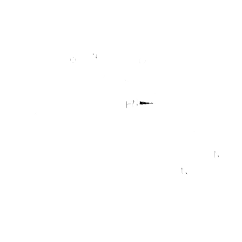 Cn1ccnc1[C@H]1CCC[C@H](NC(=O)c2cc(C3CC3)on2)C1